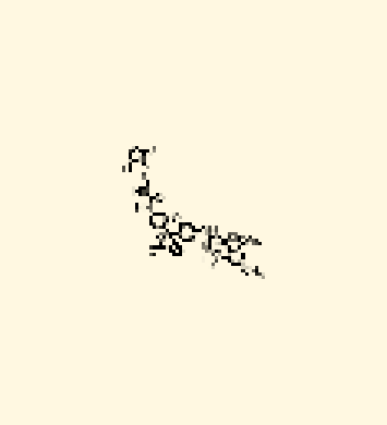 CC(=O)Oc1cc(C)cc(C)c1C(C)(C)CC(=O)Nc1ccc2c(c1)Oc1cc(NC(=O)NCCCN3C(=O)C=CC3=O)ccc1C21OC(=O)c2ccccc21